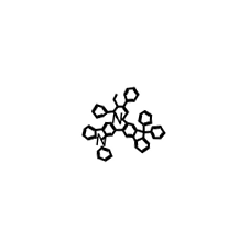 CCC1C(c2ccccc2)=CC(c2cc3c(cc2-c2ccc4c5ccccc5n(-c5ccccc5)c4c2)-c2ccccc2C3(c2ccccc2)c2ccccc2)=NC1c1ccccc1